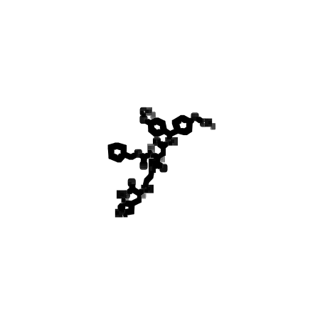 COc1ccc(C(NC(=O)C[C@H](NC(=O)OCc2ccccc2)C(=O)NCCN[C@@H](Cc2c[nH]cn2)C(=O)O)c2ccc(OC)cc2)cc1